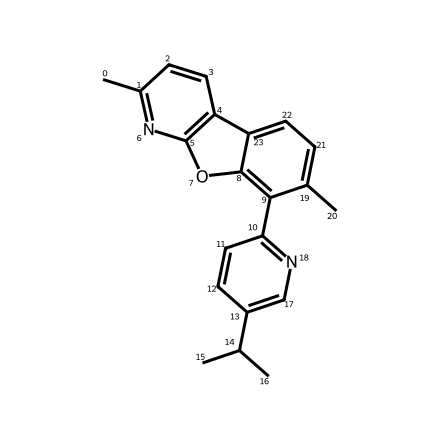 Cc1ccc2c(n1)oc1c(-c3ccc(C(C)C)cn3)c(C)ccc12